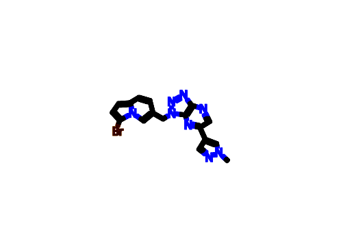 Cn1cc(-c2cnc3nnn(Cc4ccc5ccc(Br)n5c4)c3n2)cn1